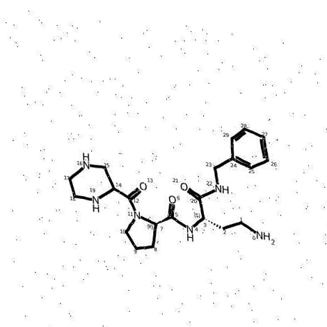 NCC[C@H](NC(=O)[C@H]1CCCN1C(=O)C1CNCCN1)C(=O)NCc1ccccc1